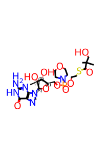 CC(C)(CO)C(=O)SCCOP(=O)(OC[C@H]1O[C@@H](n2cnc3c(=O)[nH]c(N)nc32)[C@](C)(O)[C@@H]1O)N1CCOCC1